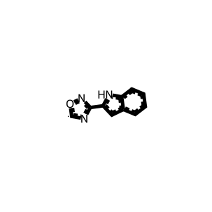 [c]1nc(-c2cc3ccccc3[nH]2)no1